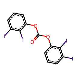 O=C(Oc1cccc(I)c1I)Oc1cccc(I)c1I